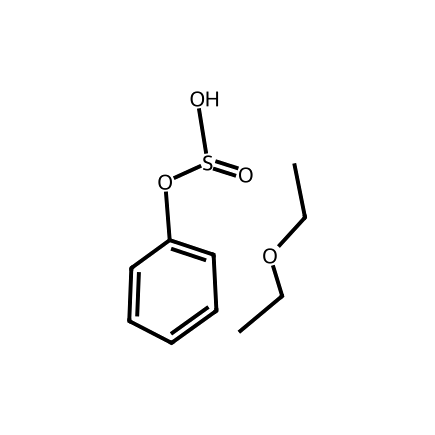 CCOCC.O=S(O)Oc1ccccc1